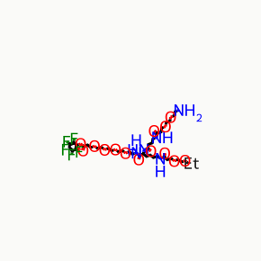 CCOCCOCCC(=O)NCCCCC(NC(=O)CCCNC(=O)CCOCCOCCN)C(=O)NCCOCCOCCOCCOCCC(=O)Oc1c(F)c(F)c(F)c(F)c1F